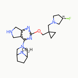 O=C(O)N1C2CCC1CN(c1nc(OCC3(CN4CC[C@@H](F)C4)CC3)nc3c1CNC3)C2